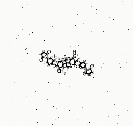 Cc1cc(C(c2cc(C)c(Oc3ccc(N4C(=O)C=CC4=O)cc3)c(C)c2)(C(F)(F)F)C(F)(F)F)cc(C)c1Oc1ccc(N2C(=O)C=CC2=O)cc1